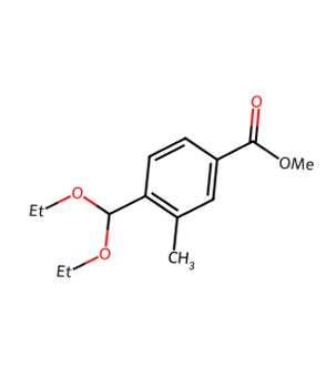 CCOC(OCC)c1ccc(C(=O)OC)cc1C